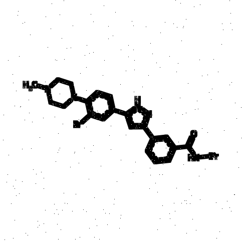 CC(C)NC(=O)c1cccc(-c2cc(-c3ccc(N4CCN(C)CC4)c(Br)c3)[nH]n2)c1